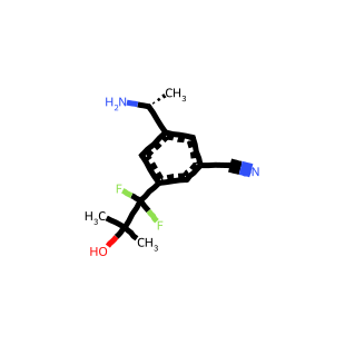 C[C@@H](N)c1cc(C#N)cc(C(F)(F)C(C)(C)O)c1